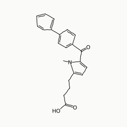 Cn1c(CCCC(=O)O)ccc1C(=O)c1ccc(-c2ccccc2)cc1